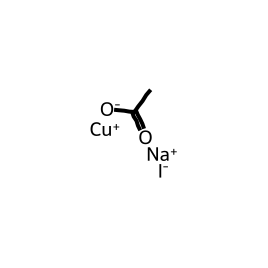 CC(=O)[O-].[Cu+].[I-].[Na+]